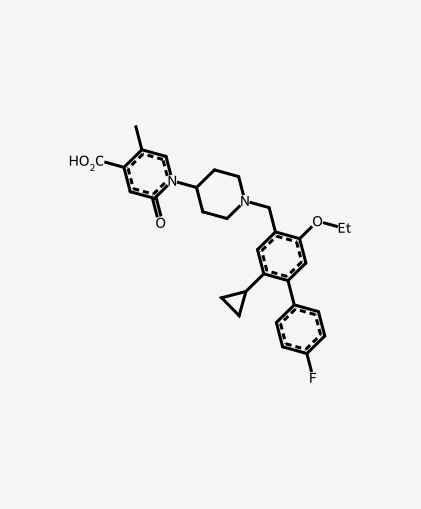 CCOc1cc(-c2ccc(F)cc2)c(C2CC2)cc1CN1CCC(n2cc(C)c(C(=O)O)cc2=O)CC1